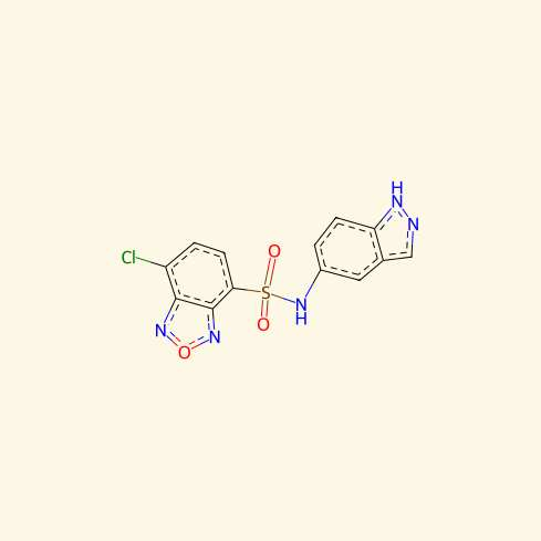 O=S(=O)(Nc1ccc2[nH]ncc2c1)c1ccc(Cl)c2nonc12